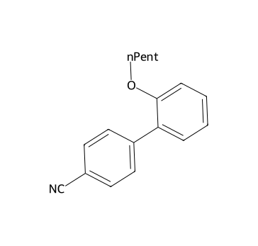 CCCCCOc1ccccc1-c1ccc(C#N)cc1